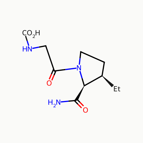 CC[C@@H]1CCN(C(=O)CNC(=O)O)[C@@H]1C(N)=O